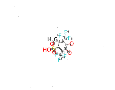 CC1=C(C(F)(F)F)C(=O)C(=O)C(C(F)(F)F)=C1S(=O)(=O)O